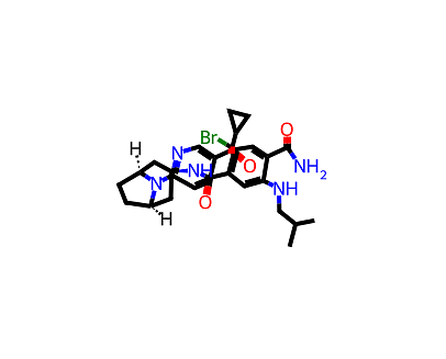 CC(C)CNc1cc(C(=O)N[C@H]2C[C@H]3CC[C@@H](C2)N3c2ccc(C(=O)C3CC3)cn2)c(Br)cc1C(N)=O